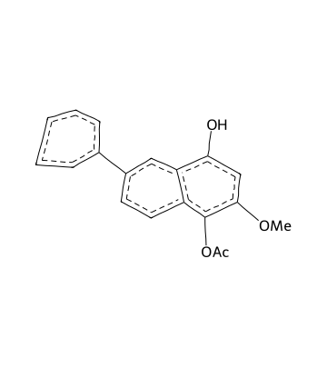 COc1cc(O)c2cc(-c3ccccc3)ccc2c1OC(C)=O